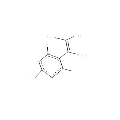 COC(=C(C#N)C#N)c1c(F)cc(Br)cc1F